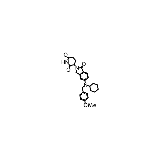 COc1ccc(CN(c2ccc3c(c2)CN(C2CCC(=O)NC2=O)C3=O)C2CCCCC2)cc1